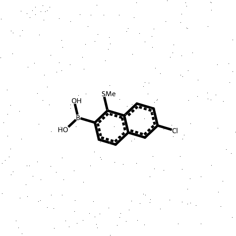 CSc1c(B(O)O)ccc2cc(Cl)ccc12